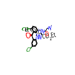 CCOC(=O)C(/N=N/c1ccc(Cl)cc1C(=O)c1ccccc1Cl)(NC(=O)CN(C)C)C(=O)OCC